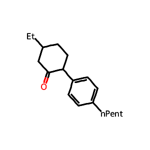 CCCCCc1ccc(C2CCC(CC)CC2=O)cc1